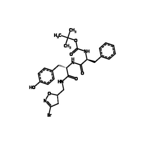 CC(C)(C)OC(=O)N[C@@H](Cc1ccccc1)C(=O)N[C@@H](Cc1ccc(O)cc1)C(=O)NCC1CC(Br)=NO1